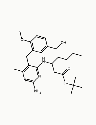 CCCCC(CC(=O)OC(C)(C)C)Nc1nc(N)nc(C)c1Cc1cc(CO)ccc1OC